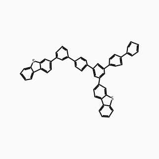 c1ccc(-c2ccc(-c3cc(-c4ccc(-c5cccc(-c6ccc7c(c6)sc6ccccc67)c5)cc4)cc(-c4ccc5c(c4)sc4ccccc45)c3)cc2)cc1